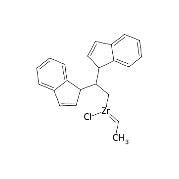 C[CH]=[Zr]([Cl])[CH2]C(C1C=Cc2ccccc21)C1C=Cc2ccccc21